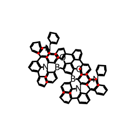 c1ccc(-c2cccc(-c3ccccc3)c2-c2c3c(cc4c2Oc2cc(N(c5ccccc5)c5ccccc5)cc5c2B4c2ccccc2N5c2c(-c4ccccc4)cccc2-c2ccccc2)B2c4ccccc4N(c4c(-c5ccccc5)cccc4-c4ccccc4)c4cc(N(c5ccccc5)c5ccccc5)cc(c42)O3)cc1